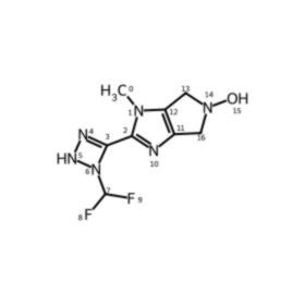 Cn1c(-c2n[nH]n2C(F)F)nc2c1CN(O)C2